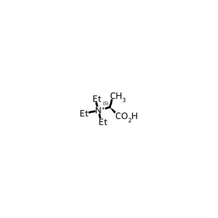 CC[N+](CC)(CC)[C@@H](C)C(=O)O